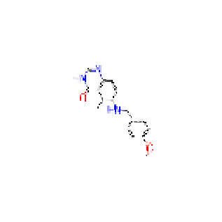 COc1ccc(CNc2ccc3ncn(C)c(=O)c3c2C)cc1